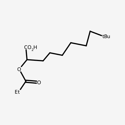 CCC(=O)OC(CCCCCCC(C)(C)C)C(=O)O